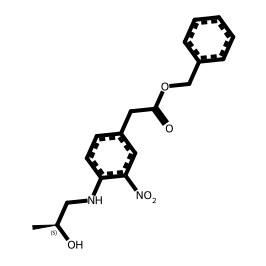 C[C@H](O)CNc1ccc(CC(=O)OCc2ccccc2)cc1[N+](=O)[O-]